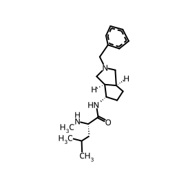 CN[C@@H](CC(C)C)C(=O)N[C@H]1CC[C@@H]2CN(Cc3ccccc3)C[C@@H]21